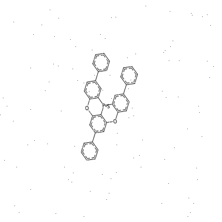 S=P12c3cc(-c4ccccc4)ccc3Oc3cc(-c4ccccc4)cc(c31)Oc1ccc(-c3ccccc3)cc12